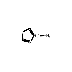 CN.c1cscn1